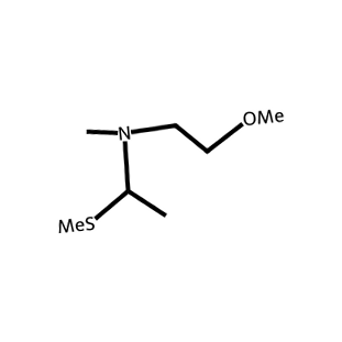 COCCN(C)C(C)SC